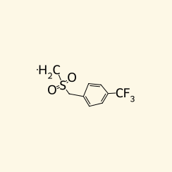 [CH2]S(=O)(=O)Cc1ccc(C(F)(F)F)cc1